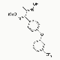 CON=C(C(C)=NO)c1ccc(Oc2cccc(C(F)(F)F)c2)cc1